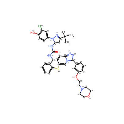 CCC(C)(C)c1cc(NC(=O)NCc2ccccc2Sc2ccc3nnc(-c4cccc(OCCN5CCOCC5)c4)n3c2)n(-c2ccc(O)c(Cl)c2)n1